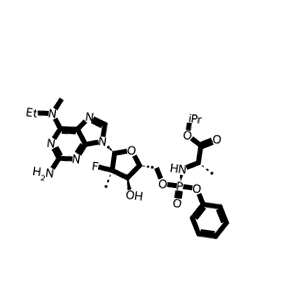 CCN(C)c1nc(N)nc2c1ncn2[C@@H]1O[C@H](CO[P@@](=O)(N[C@@H](C)C(=O)OC(C)C)Oc2ccccc2)[C@@H](O)[C@@]1(C)F